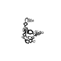 COc1ccc(CN(Cc2ccc(OC)cc2)S(=O)(=O)c2ccc3c(c2)N(C[C@@H]2CC[C@H]2/C=N/[S@@+]([O-])C(C)(C)C)C[C@@]2(CCCc4cc(Cl)ccc42)CO3)cc1